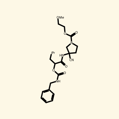 COCCOC(=O)N1CCC(C#N)(NC(=O)C(CC(C)C)OC(=O)NCc2ccccc2)C1